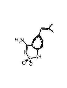 CC(C)=Cc1ccc2c(c1)C(N)=NS(=O)(=O)N2